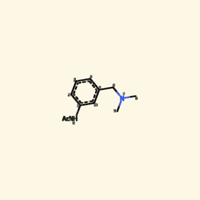 CC(=O)Nc1c[c]cc(CN(C)C)c1